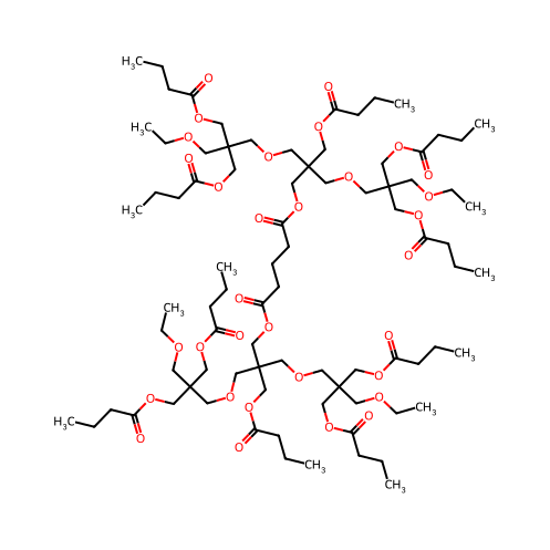 CCCC(=O)OCC(COCC)(COCC(COCC(COCC)(COC(=O)CCC)COC(=O)CCC)(COC(=O)CCC)COC(=O)CCCC(=O)OCC(COCC(COCC)(COC(=O)CCC)COC(=O)CCC)(COCC(COCC)(COC(=O)CCC)COC(=O)CCC)COC(=O)CCC)COC(=O)CCC